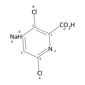 O=C(O)c1nc(Cl)ccc1Cl.[NaH]